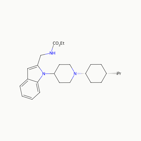 CCOC(=O)NCc1cc2ccccc2n1C1CCN([C@H]2CC[C@@H](C(C)C)CC2)CC1